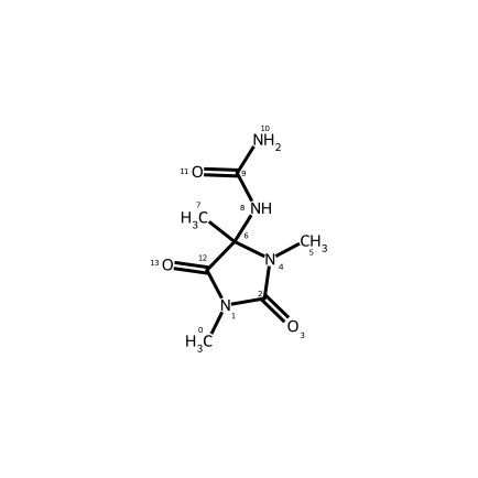 CN1C(=O)N(C)C(C)(NC(N)=O)C1=O